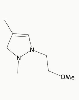 COCCN1C=C(C)CN1C